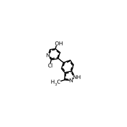 Cc1n[nH]c2ccc(-c3cc(O)cnc3Cl)cc12